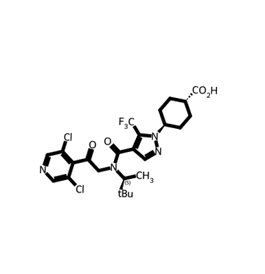 C[C@H](N(CC(=O)c1c(Cl)cncc1Cl)C(=O)c1cnn([C@H]2CC[C@H](C(=O)O)CC2)c1C(F)(F)F)C(C)(C)C